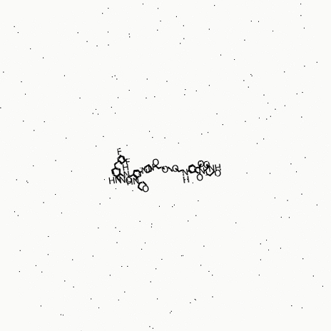 O=C1CCC(N2C(=O)c3ccc(NCCOCCOCCC(=O)N4CCN(c5ccc(C(=O)Nc6n[nH]c7ccc(Cc8cc(F)cc(F)c8)cc67)c(NC6CCOCC6)c5)CC4)cc3C2=O)C(=O)N1